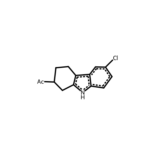 CC(=O)C1CCc2c([nH]c3ccc(Cl)cc23)C1